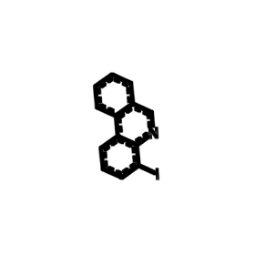 Ic1cccc2c1ncc1ccccc12